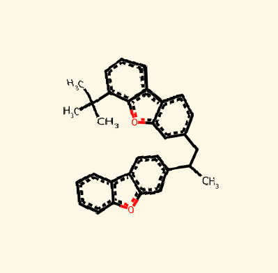 CC(Cc1ccc2c(c1)oc1c(C(C)(C)C)cccc12)c1ccc2c(c1)oc1ccccc12